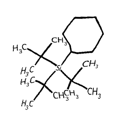 CC(C)(C)[Si](C1CCCCC1)(C(C)(C)C)C(C)(C)C